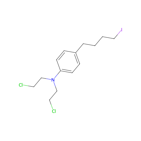 ClCCN(CCCl)c1ccc(CCCCI)cc1